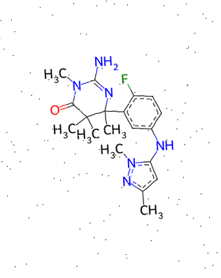 Cc1cc(Nc2ccc(F)c(C3(C)N=C(N)N(C)C(=O)C3(C)C)c2)n(C)n1